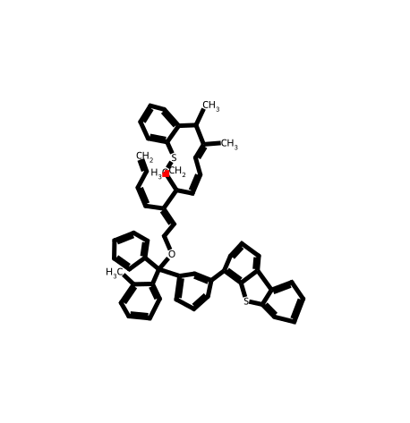 C=C/C=C\C(=C/COC(c1ccccc1)(c1cccc(-c2cccc3c2sc2ccccc23)c1)c1ccccc1C)C(C=C)/C=C\C=C(/C)C(C)c1ccccc1SC